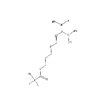 CCC(C)(C)C(=O)SCCCOCOP(N(C(C)C)C(C)C)N(C(C)C)C(C)C